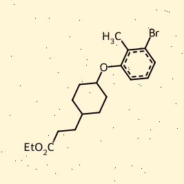 CCOC(=O)CCC1CCC(Oc2cccc(Br)c2C)CC1